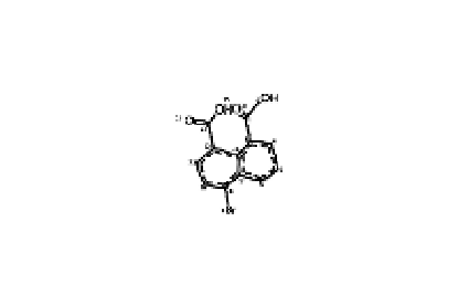 O=C(O)c1cccc2c(Br)ccc(C(=O)O)c12